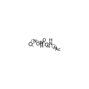 CC(=O)N1CCC(Nc2cc(C(=O)NCC(O)CN3CCc4cccc(C)c4C3)ccn2)CC1